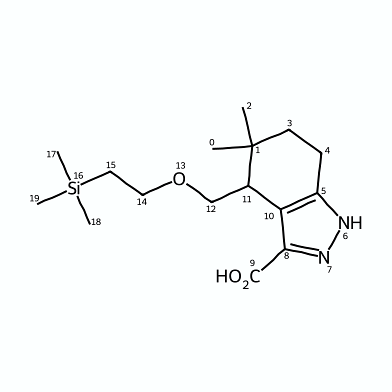 CC1(C)CCc2[nH]nc(C(=O)O)c2C1COCC[Si](C)(C)C